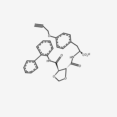 C#CCOc1ccc(C[C@H](NC(=O)[C@@H]2OCO[C@H]2C(=O)Nc2ccccc2-c2ccccc2)C(=O)O)cc1